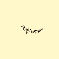 CCOC(=O)CNC1CCCC(Oc2ccc3[nH]ncc3c2C)C1